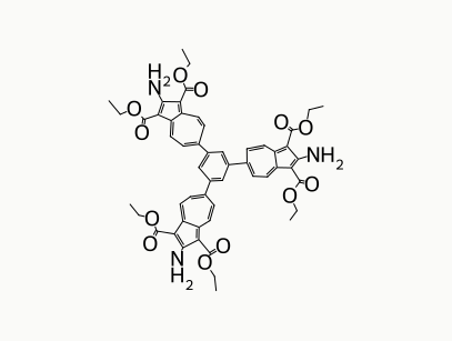 CCOC(=O)c1c2ccc(-c3cc(-c4ccc5c(C(=O)OCC)c(N)c(C(=O)OCC)c-5cc4)cc(-c4ccc5c(C(=O)OCC)c(N)c(C(=O)OCC)c-5cc4)c3)ccc-2c(C(=O)OCC)c1N